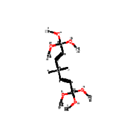 CCO[Si](C=C[Si](C)(C)C=C[Si](OCC)(OCC)OCC)(OCC)OCC